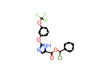 O=C(OC(Cl)c1ccccc1)c1cnc(Oc2cccc(OC(F)(F)F)c2)[nH]1